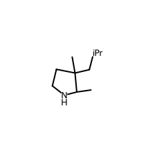 CC(C)CC1(C)CCNC1C